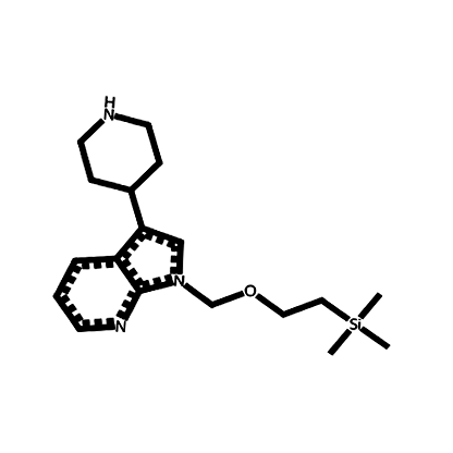 C[Si](C)(C)CCOCn1cc(C2CCNCC2)c2cccnc21